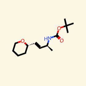 C[C@@H](/C=C/[C@@H]1CCCCO1)NC(=O)OC(C)(C)C